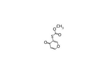 COC(=O)Sc1coccc1=O